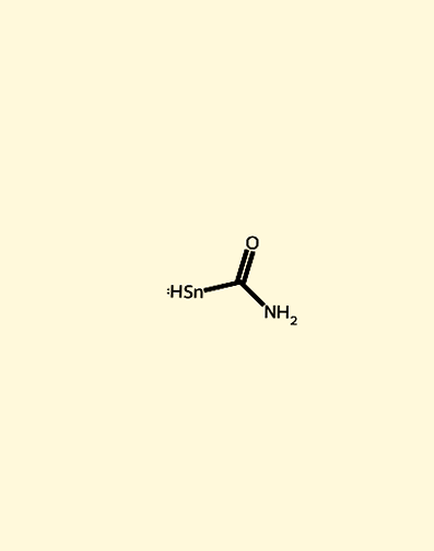 N[C](=O)[SnH]